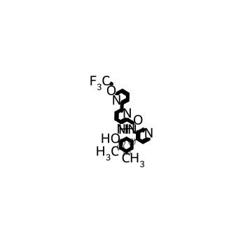 C[C@@H]1[C@H](O)C[C@H](c2ccncc2NC(=O)c2nc(-c3cccc(OCC(F)(F)F)n3)ccc2N)C[C@@H]1C